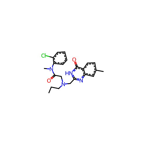 CCCN(CC(=O)N(C)c1ccccc1Cl)Cc1nc2cc(C)ccc2c(=O)[nH]1